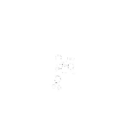 CCCc1ccc(S(=O)(=O)NC(=O)C(Cc2ccc(CO)cc2C(C)C)c2ccc3c(c2)OCO3)cc1